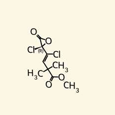 COC(=O)C(C)(C)C=C(Cl)[C@@]1(Cl)OC1=O